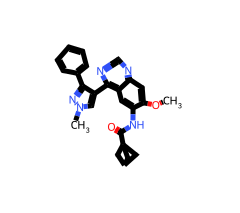 COc1cc2ncnc(-c3cn(C)nc3-c3ccccc3)c2cc1NC(=O)C12CC(C1)C2